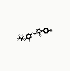 CC(C)(Oc1ccc(SCn2ncn(-c3ccc(Br)cc3)c2=O)cc1F)C(=O)O